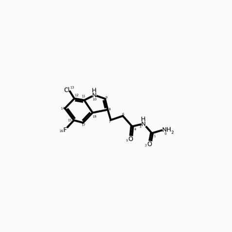 NC(=O)NC(=O)CCc1c[nH]c2c(Cl)cc(F)cc12